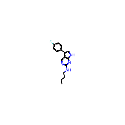 CCCCNc1ncc2c(-c3ccc(F)cc3)c[nH]c2n1